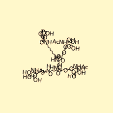 CC(=O)NC1C(OCCOCCNC(=O)CCC(NC(=O)CCC(NC(=O)CCCCCCCCCNC(=O)[C@H]2C[C@H](OC(C)C)[C@@H](CO)O2)C(=O)NCCOCCOC2OC(CO)C(O)C(O)C2NC(C)=O)C(=O)NCCOCCOC2OC(CO)C(O)C(O)C2NC(C)=O)OC(CO)C(O)C1O